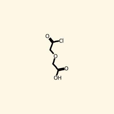 O=C(O)COCC(=O)Cl